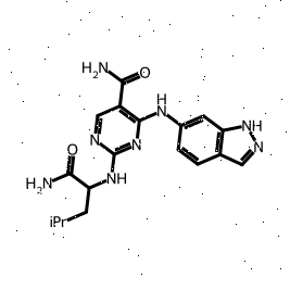 CC(C)CC(Nc1ncc(C(N)=O)c(Nc2ccc3cn[nH]c3c2)n1)C(N)=O